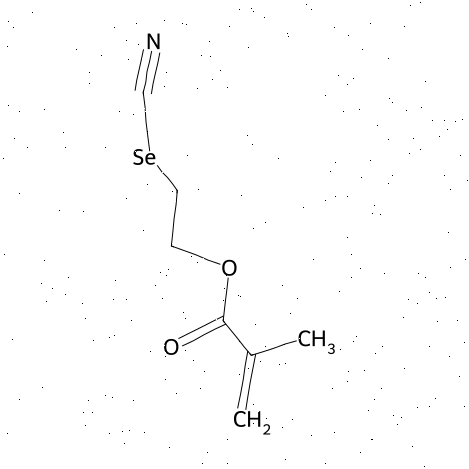 C=C(C)C(=O)OCC[Se]C#N